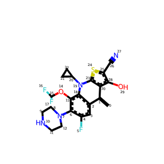 C=C1c2cc(F)c(N3CCNCC3)c(OC(F)F)c2N(C2CC2)c2sc(C#N)c(O)c21